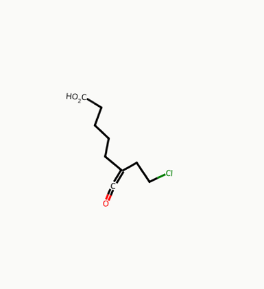 O=C=C(CCCl)CCCCC(=O)O